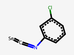 Clc1cccc(N=C=[Se])c1